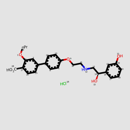 CCCOc1cc(-c2ccc(OCCNC[C@H](O)c3cccc(O)c3)cc2)ccc1C(=O)O.Cl